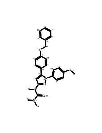 COc1ccc(-n2nc(N(C)C(=O)N(C)C)cc2-c2ccc(OCc3ccccc3)cc2)cc1